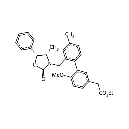 CCOC(=O)Cc1ccc(OC)c(-c2ccc(C)cc2CN2C(=O)O[C@H](c3ccccc3)[C@@H]2C)c1